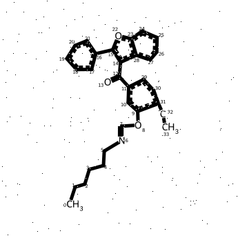 CCCCCCN=COc1cc(C(=O)c2c(-c3ccccc3)oc3ccccc23)ccc1CC